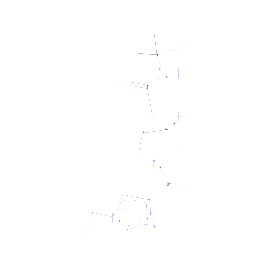 CC(C)n1cnc(C(=O)N2CC3C(C(=O)NC(C)(C)C)[C@@H]3C2)c1